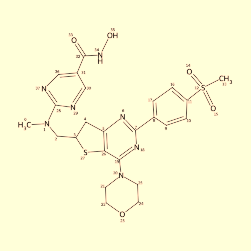 CN(CC1Cc2nc(-c3ccc(S(C)(=O)=O)cc3)nc(N3CCOCC3)c2S1)c1ncc(C(=O)NO)cn1